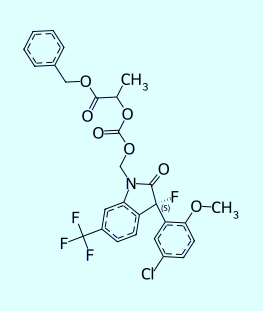 COc1ccc(Cl)cc1[C@]1(F)C(=O)N(COC(=O)OC(C)C(=O)OCc2ccccc2)c2cc(C(F)(F)F)ccc21